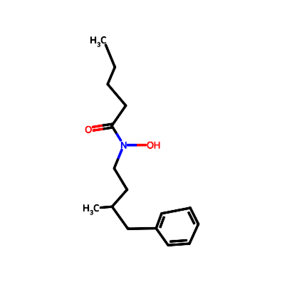 CCCCC(=O)N(O)CCC(C)Cc1ccccc1